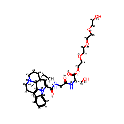 CC[C@@]12C=C(C(=O)NCC(=O)N[C@@H](CO)C(=O)OCCOCCOCCOCCO)n3c4c(c5ccccc53)CCN(CCC1)[C@H]42